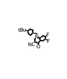 CC(C)(C)c1ccc(Cn2cc(C#N)c(=O)c3cc(F)c(F)cc32)cc1